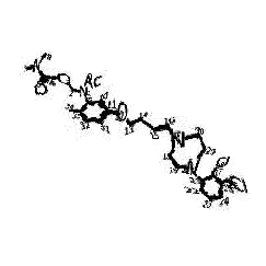 CC(=O)N(COC(=O)N(C)C)c1cc(OCCCCN2CCN(c3cccc(Cl)c3Cl)CC2)ccc1C